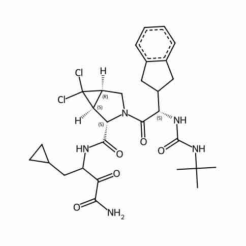 CC(C)(C)NC(=O)N[C@H](C(=O)N1C[C@H]2[C@@H]([C@H]1C(=O)NC(CC1CC1)C(=O)C(N)=O)C2(Cl)Cl)C1Cc2ccccc2C1